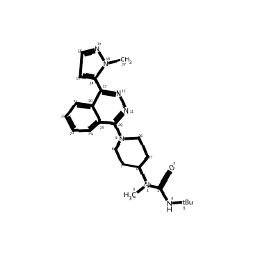 CN(C(=O)NC(C)(C)C)C1CCN(c2nnc(-c3ccnn3C)c3ccccc23)CC1